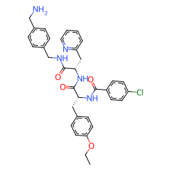 CCOc1ccc(C[C@@H](NC(=O)c2ccc(Cl)cc2)C(=O)N[C@@H](Cc2ccccn2)C(=O)NCc2ccc(CN)cc2)cc1